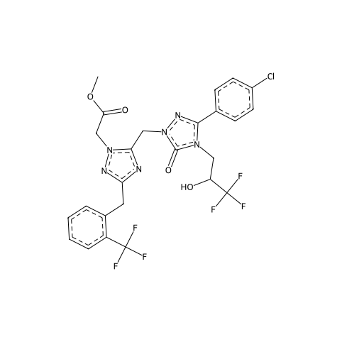 COC(=O)Cn1nc(Cc2ccccc2C(F)(F)F)nc1Cn1nc(-c2ccc(Cl)cc2)n(CC(O)C(F)(F)F)c1=O